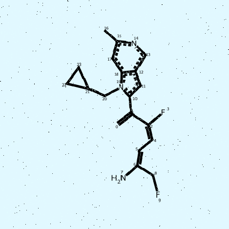 C=C(/C(F)=C\C=C(\N)CF)c1cc2cnc(C)cc2n1CC1CC1